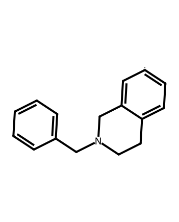 [c]1ccc2c(c1)CN(Cc1ccccc1)CC2